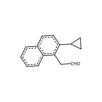 O=CCc1c(C2CC2)ccc2ccccc12